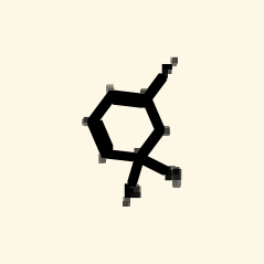 CCC1(CC)C=CC=C(F)C1